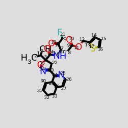 CC(C)C1(C(=O)N[C@@H](CC(=O)OCc2cccs2)C(=O)CF)CC(c2nccc3c2C=CCC3)=NO1